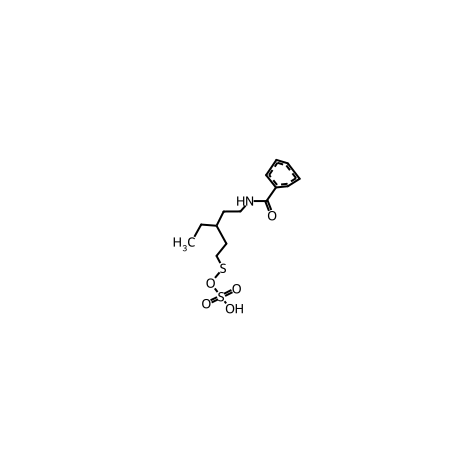 CCC(CCNC(=O)c1ccccc1)CCSOS(=O)(=O)O